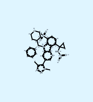 Cc1nnn(C)c1-c1cnc2c3c(C4(N[SH](=O)=O)CC4)ccc(S(C)(=O)=O)c3n([C@H](c3ccccc3)C3CCOCC3)c2c1